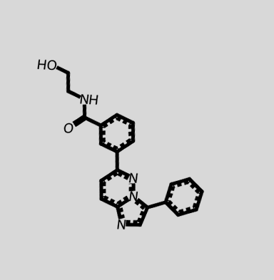 O=C(NCCO)c1cccc(-c2ccc3ncc(-c4ccccc4)n3n2)c1